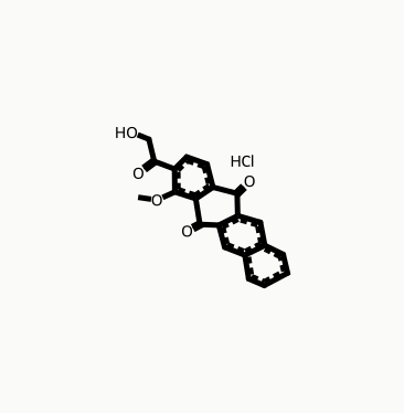 COc1c(C(=O)CO)ccc2c1C(=O)c1cc3ccccc3cc1C2=O.Cl